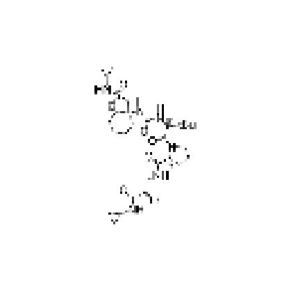 CC(C)(C)[C@H](NC(=O)NC1(CS(=O)(=O)NC2CC2)CCCCC1)C(=O)N1CCC[C@H]1C(=O)NCC(=O)C(=O)NC1CC1